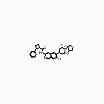 CC1(N2CCC(c3cc4cc(NC(=O)C5CCC5c5ccccn5)ncc4cc3Cl)CC2)COCC1O